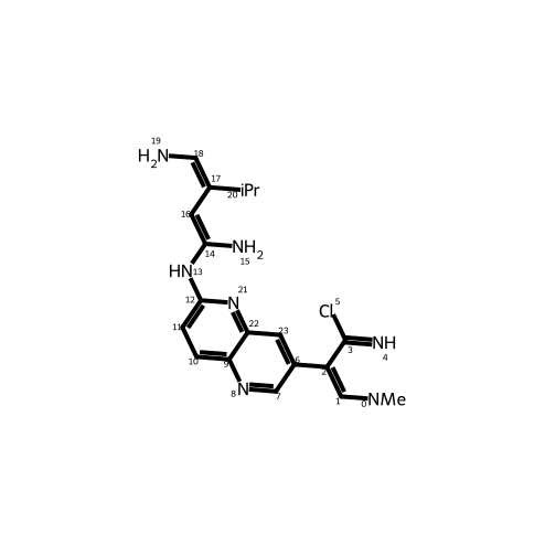 CN/C=C(\C(=N)Cl)c1cnc2ccc(N/C(N)=C/C(=C\N)C(C)C)nc2c1